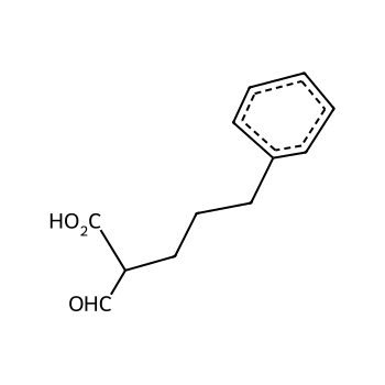 O=CC(CCCc1ccccc1)C(=O)O